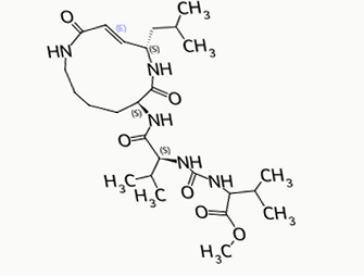 COC(=O)C(NC(=O)N[C@H](C(=O)N[C@H]1CCCCNC(=O)/C=C/[C@H](CC(C)C)NC1=O)C(C)C)C(C)C